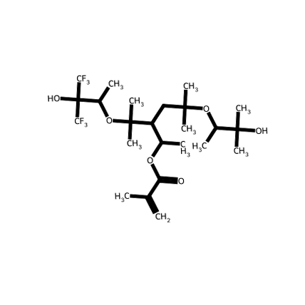 C=C(C)C(=O)OC(C)C(CC(C)(C)OC(C)C(C)(C)O)C(C)(C)OC(C)C(O)(C(F)(F)F)C(F)(F)F